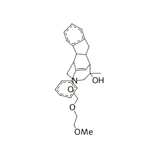 COCCOCON1CC2C(c3ccccc3)=CC(C3Cc4ccccc4C23)C(C)(O)C1